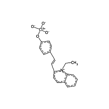 CC[n+]1c(C=Cc2ccc(O[Cl+3]([O-])([O-])[O-])cc2)ccc2ccccc21